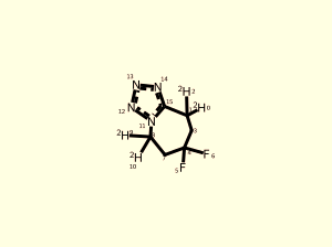 [2H]C1([2H])CC(F)(F)CC([2H])([2H])n2nnnc21